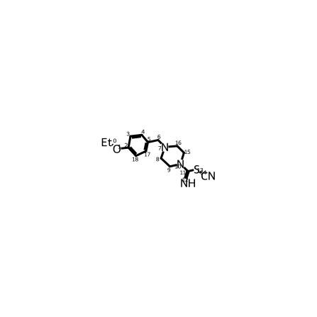 CCOc1ccc(CN2CCN(C(=N)SC#N)CC2)cc1